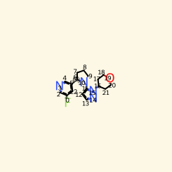 Fc1cncc([C@H]2CCCN2c2ccnn2C2CCOCC2)c1